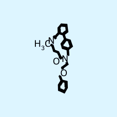 CCCCC(=O)N(CCOCc1ccccc1)Cc1ccc(-c2ccccc2C#N)cc1